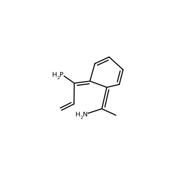 C=C/C(P)=c1/cccc/c1=C(\C)N